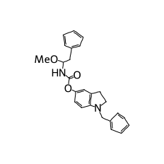 COC(Cc1ccccc1)NC(=O)Oc1ccc2c(c1)CCN2Cc1ccccc1